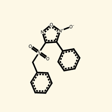 O=S(=O)(Cc1ccccc1)c1no[n+]([O-])c1-c1ccccc1